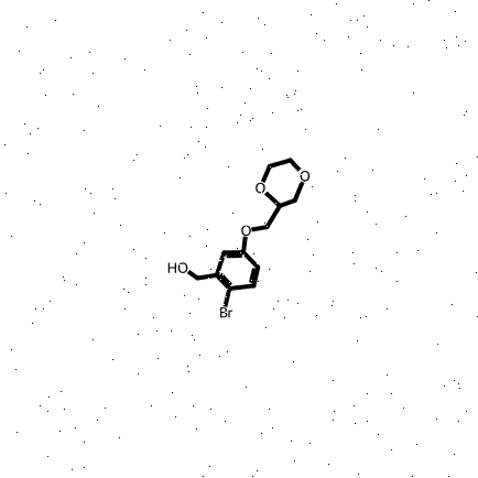 OCc1cc(OCC2COCCO2)ccc1Br